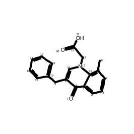 Cc1cccc2c(=O)c(Cc3ccccc3)cn(CC(=O)O)c12